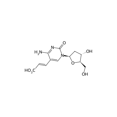 Nc1nc(=O)n([C@H]2C[C@H](O)[C@@H](CO)O2)cc1/C=C/C(=O)O